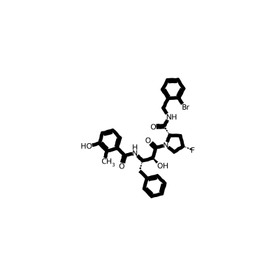 Cc1c(O)cccc1C(=O)N[C@@H](Cc1ccccc1)[C@H](O)C(=O)N1C[C@@H](F)C[C@H]1C(=O)NCc1ccccc1Br